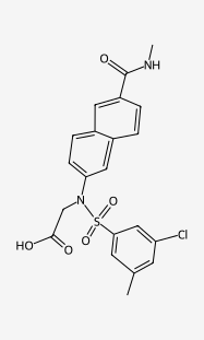 CNC(=O)c1ccc2cc(N(CC(=O)O)S(=O)(=O)c3cc(C)cc(Cl)c3)ccc2c1